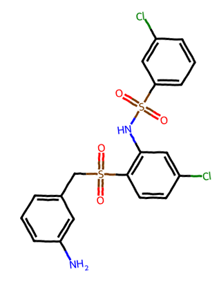 Nc1cccc(CS(=O)(=O)c2ccc(Cl)cc2NS(=O)(=O)c2cccc(Cl)c2)c1